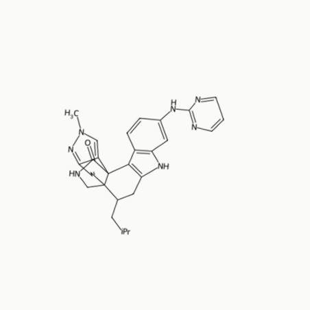 CC(C)CC1Cc2[nH]c3cc(Nc4ncccn4)ccc3c2C23C(=O)NCC12C=Cc1nn(C)cc13